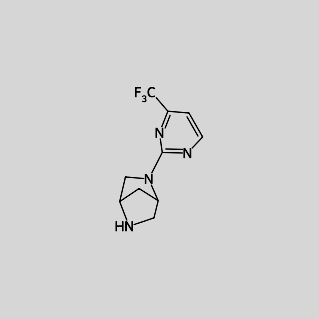 FC(F)(F)c1ccnc(N2CC3CC2CN3)n1